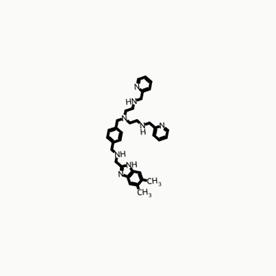 Cc1cc2nc(CNCc3ccc(CN(CCNCc4ccccn4)CCNCc4ccccn4)cc3)[nH]c2cc1C